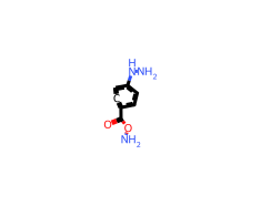 NNc1ccc(C(=O)ON)cc1